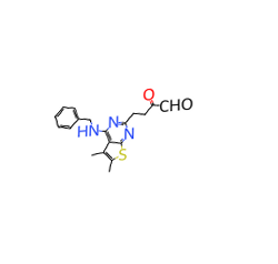 Cc1sc2nc(CCC(=O)C=O)nc(NCc3ccccc3)c2c1C